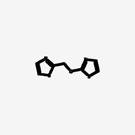 c1csc(COc2nccs2)n1